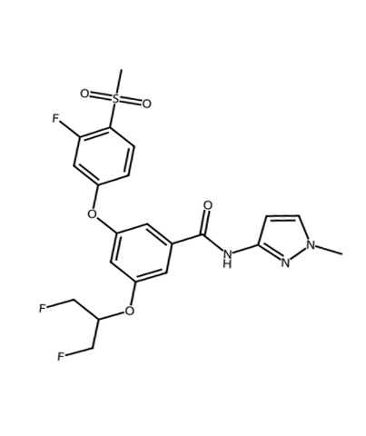 Cn1ccc(NC(=O)c2cc(Oc3ccc(S(C)(=O)=O)c(F)c3)cc(OC(CF)CF)c2)n1